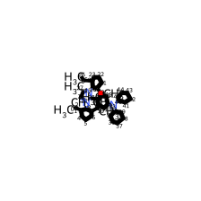 CC(C)c1cccc(C(C)C)c1N1CCN(c2c(C(C)C)cccc2C(C)C)C1c1ccc(N(c2ccccc2)c2ccccc2)cc1